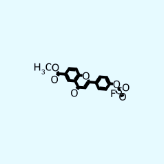 COC(=O)c1ccc2oc(-c3ccc(OS(=O)(=O)F)cc3)cc(=O)c2c1